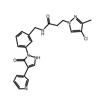 Cc1nn(CCC(=O)NCc2cccc(-n3[nH]cc(-c4cccnc4)c3=O)c2)cc1Cl